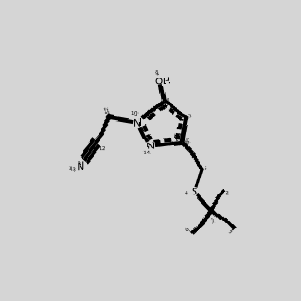 CC(C)(C)SCc1cc(O)n(CC#N)n1